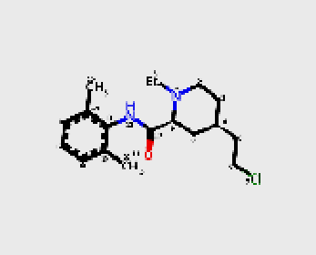 CCN1CC[C@@H](CCCl)C[C@H]1C(=O)Nc1c(C)cccc1C